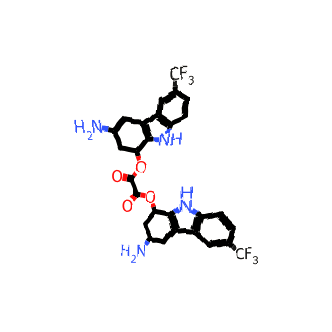 NC1Cc2c([nH]c3ccc(C(F)(F)F)cc23)C(OC(=O)C(=O)OC2CC(N)Cc3c2[nH]c2ccc(C(F)(F)F)cc32)C1